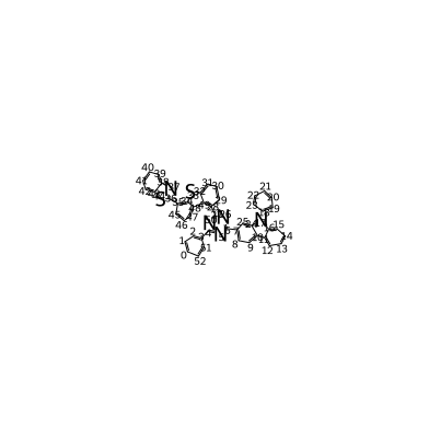 c1ccc(-c2nc(-c3ccc4c5ccccc5n(-c5ccccc5)c4c3)nc(-c3cccc4sc5c(-c6nc7ccccc7s6)cccc5c34)n2)cc1